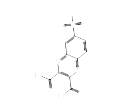 O=C(O)c1nc2ccc(S(=O)(=O)O)cc2nc1C(=O)O